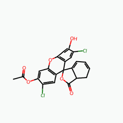 CC(=O)Oc1cc2c(cc1Cl)C1(OC(=O)C3CC=CC=C31)c1cc(Cl)c(O)cc1O2